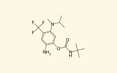 CC(C)N(C)c1cc(OC(=O)NC(C)(C)C)c(N)cc1C(F)(F)F